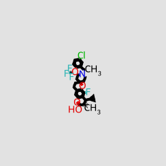 CC(c1cc(Cl)ccc1OC(F)(F)F)N1CCC2(CCc3ccc(C(C4CC4)[C@H](C)C(=O)O)c(F)c3O2)CC1